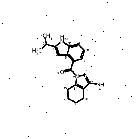 CC(C)c1cc2c(C(=O)n3nc(N)c4c3CCCC4)cccc2[nH]1